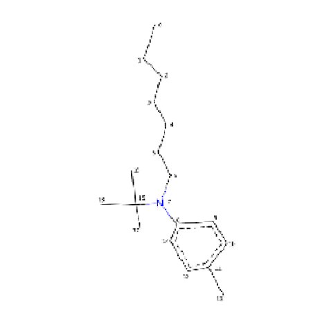 CCCCCCCN(c1ccc(C)cc1)C(C)(C)C